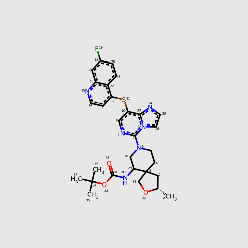 C[C@H]1CC2(CCN(c3ncc(Sc4ccnc5cc(F)ccc45)c4nccn34)CC2NC(=O)OC(C)(C)C)CO1